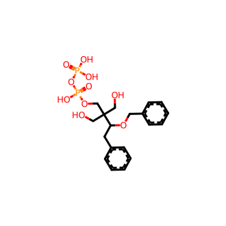 O=P(O)(O)OP(=O)(O)OCC(CO)(CO)C(Cc1ccccc1)OCc1ccccc1